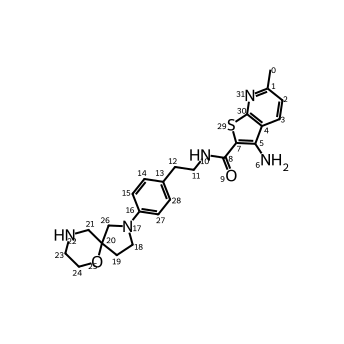 Cc1ccc2c(N)c(C(=O)NCCc3ccc(N4CCC5(CNCCO5)C4)cc3)sc2n1